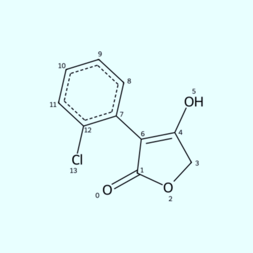 O=C1OCC(O)=C1c1ccccc1Cl